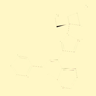 N#CC[C@]1(n2ncc(-c3cc(-c4cnccn4)cc4ncccc34)n2)C[C@@H](C#N)C1